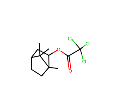 CC1(C)C2CCC1(C)C(OC(=O)C(Cl)(Cl)Cl)C2